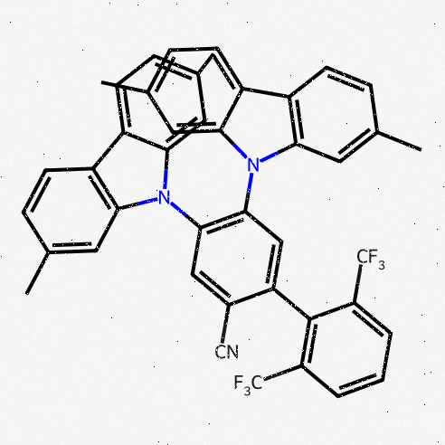 Cc1ccc2c3ccc(C)cc3n(-c3cc(C#N)c(-c4c(C(F)(F)F)cccc4C(F)(F)F)cc3-n3c4cc(C)ccc4c4ccc(C)cc43)c2c1